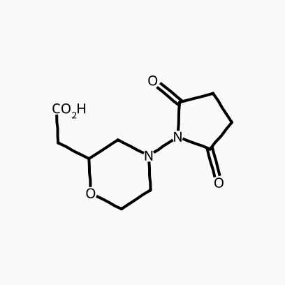 O=C(O)CC1CN(N2C(=O)CCC2=O)CCO1